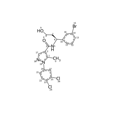 Cc1c(C(=O)N[C@@H](CCO)c2cccc(Br)c2)cnn1-c1ccc(Cl)c(Cl)c1